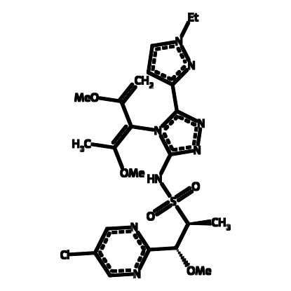 C=C(OC)/C(=C(\C)OC)n1c(NS(=O)(=O)[C@@H](C)[C@H](OC)c2ncc(Cl)cn2)nnc1-c1ccn(CC)n1